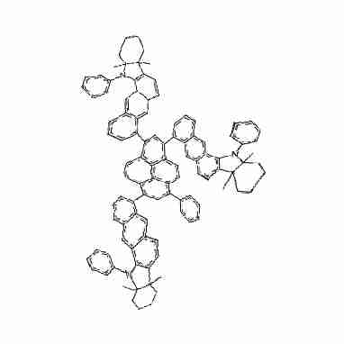 CC12CCCCC1(C)N(c1ccccc1)C1=C2C=CC2C=c3c(-c4cc(-c5cccc6cc7c8c(ccc7cc56)C5(C)CCCCC5(C)N8c5ccccc5)c5ccc6c(-c7ccccc7)cc(-c7cccc8cc9c%10c(ccc9cc78)C7(C)CCCCC7(C)N%10c7ccccc7)c7ccc4c5c67)cccc3=CC12